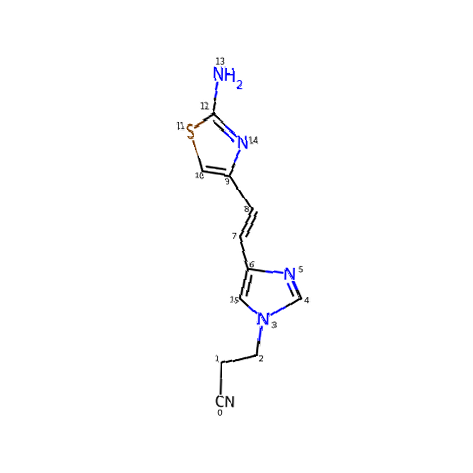 N#CCCn1cnc(C=Cc2csc(N)n2)c1